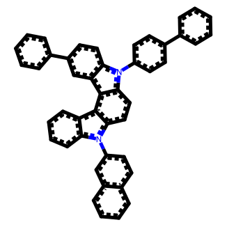 c1ccc(-c2ccc(-n3c4ccc(-c5ccccc5)cc4c4c5c6ccccc6n(-c6ccc7ccccc7c6)c5ccc43)cc2)cc1